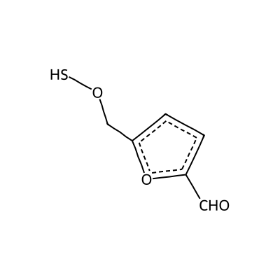 O=Cc1ccc(COS)o1